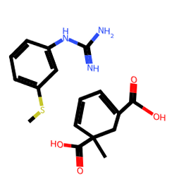 CC1(C(=O)O)C=CC=C(C(=O)O)C1.CSc1cccc(NC(=N)N)c1